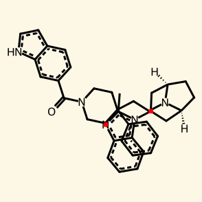 Cc1nc2ccccc2n1C1C[C@H]2CC[C@@H](C1)N2CCC1(c2ccccc2)CCN(C(=O)c2ccc3cc[nH]c3c2)CC1